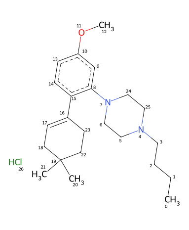 CCCCN1CCN(c2cc(OC)ccc2C2=CCC(C)(C)CC2)CC1.Cl